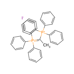 CC(=P(c1ccccc1)(c1ccccc1)c1ccccc1)[P+](c1ccccc1)(c1ccccc1)c1ccccc1.[I-]